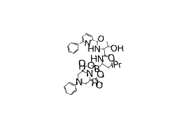 CC(C)CC(NC(=O)C(NC(=O)c1cccc(-c2ccccc2)n1)C(C)O)B1OC(=O)[C@H]2CN(c3ccccc3)C[C@@H](C(=O)O1)N2C